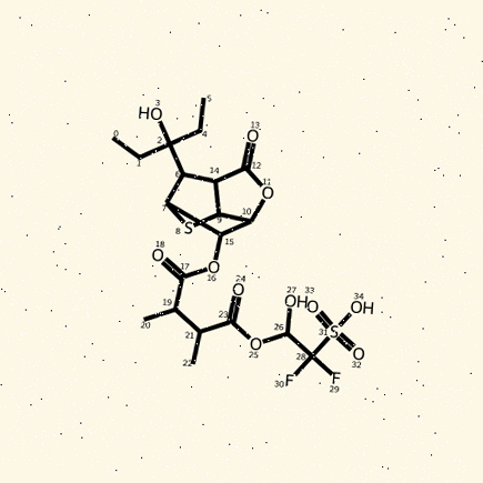 CCC(O)(CC)C1C2SC3C(OC(=O)C31)C2OC(=O)C(C)C(C)C(=O)OC(O)C(F)(F)S(=O)(=O)O